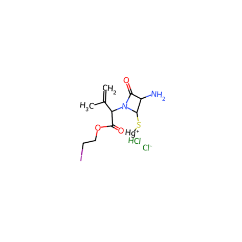 C=C(C)C(C(=O)OCCI)N1C(=O)C(N)C1[S][Hg+].Cl.[Cl-]